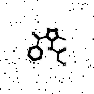 Cc1onc(C(=O)c2ccccc2)c1NC(=O)CCl